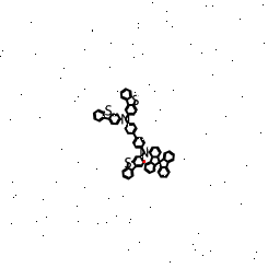 C1=CC2C(C(N(c3ccc(C4=CC=C(N(c5ccc6c(c5)sc5ccccc56)c5ccc6sc7ccccc7c6c5)CC4)cc3)c3ccc4c(c3)sc3ccccc34)=C1)c1ccccc1C21c2ccccc2-c2ccccc21